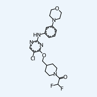 O=C(C(F)F)N1CCC(COc2nc(Nc3cccc(N4CCOCC4)c3)ncc2Cl)CC1